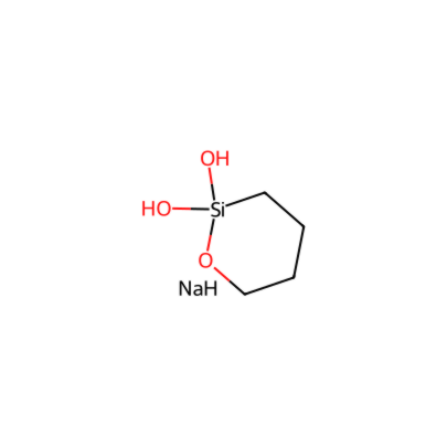 O[Si]1(O)CCCCO1.[NaH]